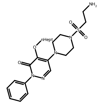 CCCCCCCOc1c(N2CCN(S(=O)(=O)CCN)CC2)cnn(-c2ccccc2)c1=O